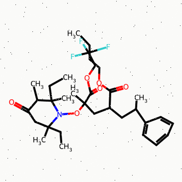 CCCCOC(=O)C(CC(C)c1ccccc1)CC(C)(ON1C(C)(CC)CC(=O)C(C)C1(C)CC)C(=O)OCC(F)(F)F